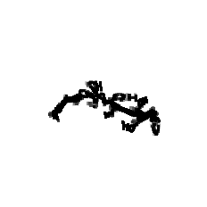 N#CCCOP(=O)(O)OC[C@@H](O)[C@@H](O)[C@H](O)[C@@H](O)C=O